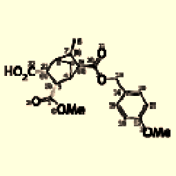 COC(=O)[C@H]1C2CC([C@@H](C)[C@H]2C(=O)OCc2ccc(OC)cc2)[C@H]1C(=O)O